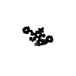 CC(C)(C)OC(=O)[C@@H](C(=O)N[C@H](CO)Cc1ccccc1)C(N)C(=O)OCc1ccccc1